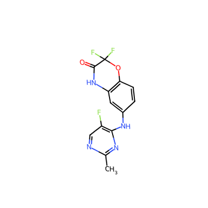 Cc1ncc(F)c(Nc2ccc3c(c2)NC(=O)C(F)(F)O3)n1